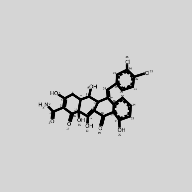 NC(=O)C1=C(O)CC2C(O)C3C(=C(O)C2(O)C1=O)C(=O)c1c(O)cccc1/C3=C\c1ccc(Cl)c(Cl)c1